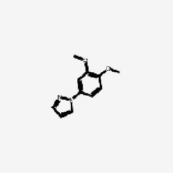 COc1ccc(-n2cccn2)cc1OC